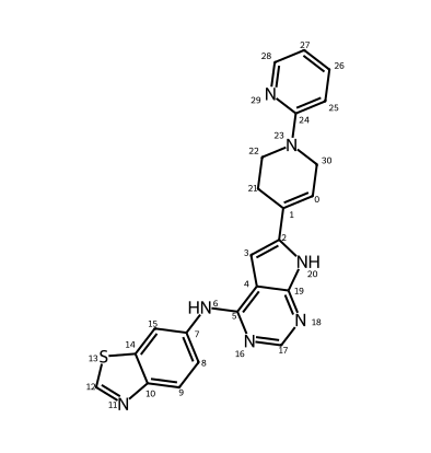 C1=C(c2cc3c(Nc4ccc5ncsc5c4)ncnc3[nH]2)CCN(c2ccccn2)C1